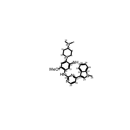 COc1cc(N2CCC(N(C)C)CC2)c(N)cc1Nc1nccc(-c2cn(C)c3ccccc23)n1